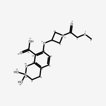 CSCC(=O)N1CC(Oc2ccc3c(c2C(=O)O)O[B-](O)(O)CC3)C1